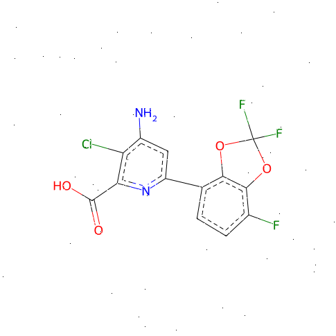 Nc1cc(-c2ccc(F)c3c2OC(F)(F)O3)nc(C(=O)O)c1Cl